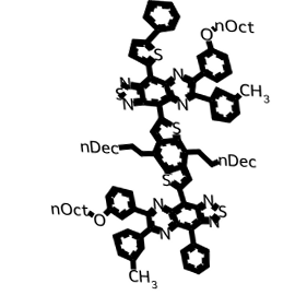 CCCCCCCCCCCCc1c2cc(-c3c4nsnc4c(-c4ccc(-c5ccccc5)s4)c4nc(-c5cccc(OCCCCCCCC)c5)c(-c5cccc(C)c5)nc34)sc2c(CCCCCCCCCCCC)c2cc(-c3c4nsnc4c(-c4ccccc4)c4nc(-c5cccc(C)c5)c(-c5cccc(OCCCCCCCC)c5)nc34)sc12